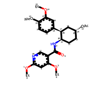 CCOc1cc(OCC)c(C(=O)N[C@@H]2CC[C@@H](OC(C)=O)C[C@@H]2c2ccc(OC)c(OCC)c2)cn1